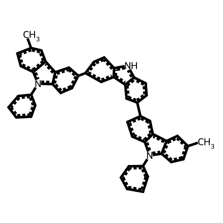 Cc1ccc2c(c1)c1cc(-c3ccc4[nH]c5ccc(-c6ccc7c(c6)c6cc(C)ccc6n7-c6ccccc6)cc5c4c3)ccc1n2-c1ccccc1